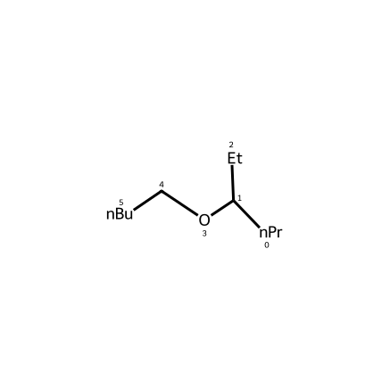 C[CH]CC(CC)OCCCCC